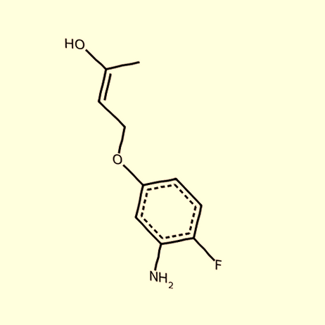 C/C(O)=C\COc1ccc(F)c(N)c1